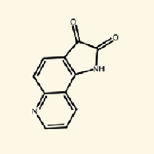 O=C1Nc2c(ccc3ncccc23)C1=O